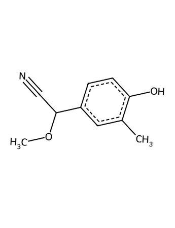 COC(C#N)c1ccc(O)c(C)c1